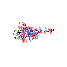 CC[C@H](C)[C@H](NC(=O)[C@H](CO)NC(=O)[C@H](Cc1ccc(O)cc1)NC(=O)[C@H](CC(=O)O)NC(=O)[C@H](CO)NC(=O)[C@@H](NC(=O)[C@H](Cc1ccccc1)NC(=O)[C@@H](NC(=O)CNC(=O)[C@H](CCC(=O)O)NC(=O)CSCC(=O)NCCCN1C(=O)c2ccccc2C1=O)[C@@H](C)O)[C@@H](C)O)C(=O)N[C@@H](Cc1ccc(O)cc1)C(=O)N[C@@H](CC(C)C)C(=O)N[C@@H](CC(=O)O)C(=O)N[C@H](C)CCCCCN